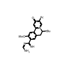 COc1cc2c(cc1C(=N)/N=C\N)CC(C(C)(C)C)n1cc(C(C)=O)c(=O)cc1-2